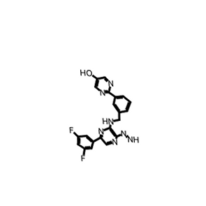 N=Nc1ncc(-c2cc(F)cc(F)c2)nc1NCc1cccc(-c2ncc(O)cn2)c1